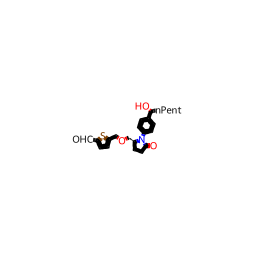 CCCCCC(O)c1ccc(N2C(=O)CC[C@@H]2COCc2ccc(C=O)s2)cc1